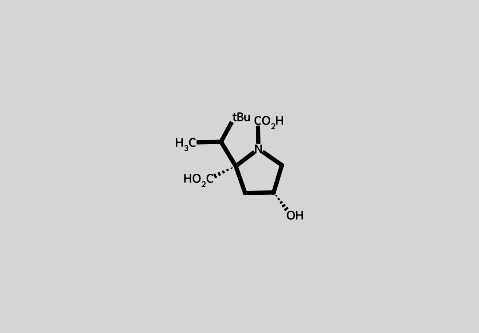 CC(C(C)(C)C)[C@]1(C(=O)O)C[C@@H](O)CN1C(=O)O